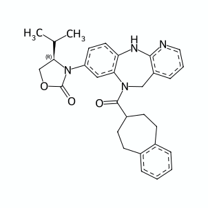 CC(C)[C@@H]1COC(=O)N1c1ccc2c(c1)N(C(=O)C1CCc3ccccc3CC1)Cc1cccnc1N2